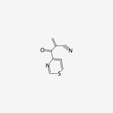 C=C(C#N)C(=O)C1=C=CSC=N1